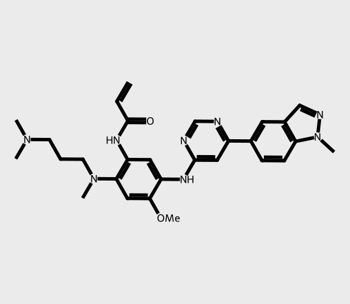 C=CC(=O)Nc1cc(Nc2cc(-c3ccc4c(cnn4C)c3)ncn2)c(OC)cc1N(C)CCCN(C)C